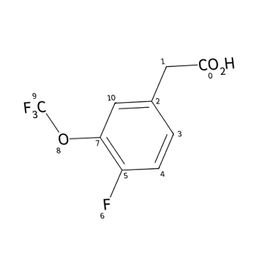 O=C(O)Cc1ccc(F)c(OC(F)(F)F)c1